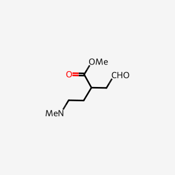 CNCCC(CC=O)C(=O)OC